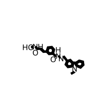 CCn1c2ccccc2c2cc(/C=N/NC(=O)c3cccc(/C=C/C(=O)NO)c3)ccc21